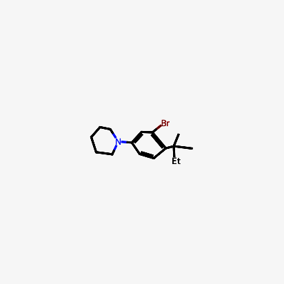 CCC(C)(C)c1ccc(N2CCCCC2)cc1Br